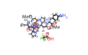 CC[C@H](C)[C@@H]([C@@H](CC(=O)N1CCC[C@H]1[C@H](OC)[C@@H](C)C(=O)N[C@@H](Cc1ccc(N)cc1)C(=O)OC)OC)N(C)[C@H](C(=O)NC(=O)[C@]1(C)CCCN1C)C(C)C.O=C(O)C(F)(F)F